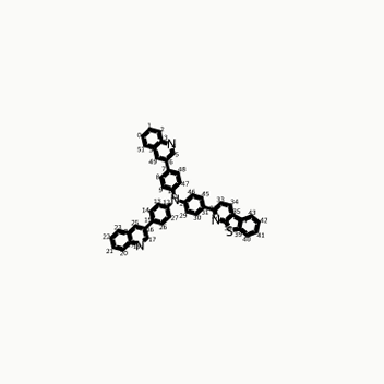 c1ccc2ncc(-c3ccc(N(c4ccc(-c5cnc6ccccc6c5)cc4)c4ccc(-c5ccc6c(n5)sc5ccccc56)cc4)cc3)cc2c1